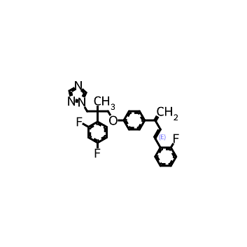 C=C(/C=C/c1ccccc1F)c1ccc(OCC(C)(Cn2cncn2)c2ccc(F)cc2F)cc1